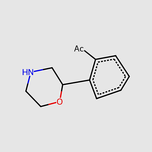 CC(=O)c1ccccc1C1CNCCO1